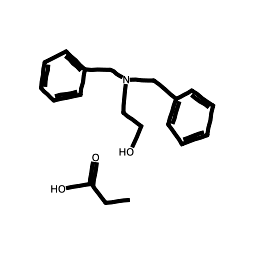 CCC(=O)O.OCCN(Cc1ccccc1)Cc1ccccc1